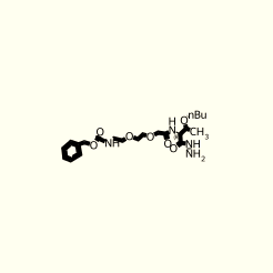 CCCCOC(C)[C@@H](NC(=O)COCCOCCNC(=O)OCc1ccccc1)C(=O)NN